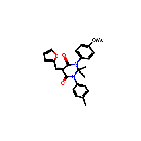 COc1ccc(N2C(=O)/C(=C\c3ccco3)C(=O)N(c3ccc(C)cc3)C2(C)C)cc1